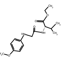 CCOC(=O)[C@@H](NC(=O)CNc1ccc(OC)cc1)C(C)C